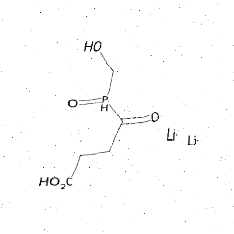 O=C(O)CCC(=O)[PH](=O)CO.[Li].[Li]